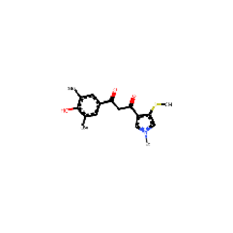 CCn1cc(SC#N)c(C(=O)CC(=O)c2cc(C(C)(C)C)c(O)c(C(C)(C)C)c2)c1